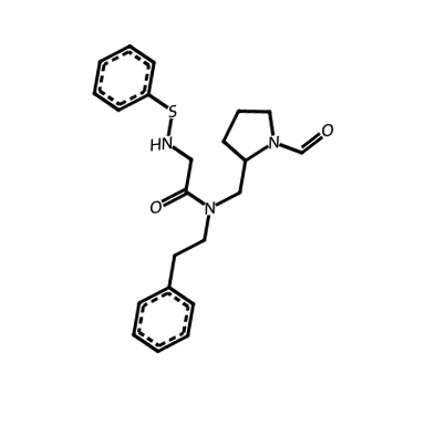 O=CN1CCCC1CN(CCc1ccccc1)C(=O)CNSc1ccccc1